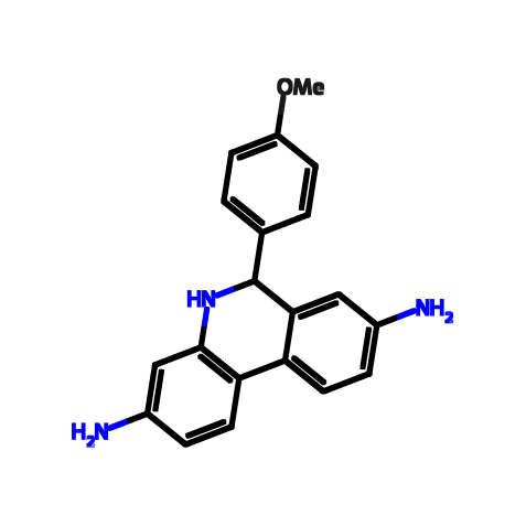 COc1ccc(C2Nc3cc(N)ccc3-c3ccc(N)cc32)cc1